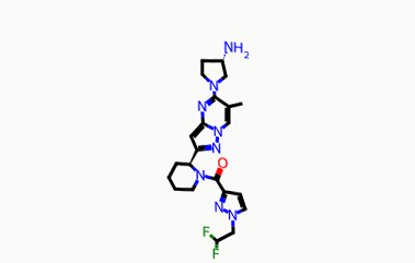 Cc1cn2nc([C@@H]3CCCCN3C(=O)c3ccn(CC(F)F)n3)cc2nc1N1CC[C@H](N)C1